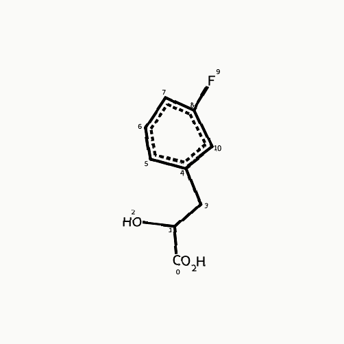 O=C(O)C(O)Cc1cccc(F)c1